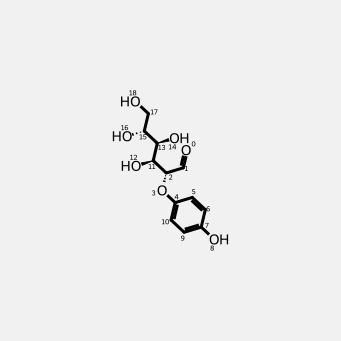 O=C[C@H](Oc1ccc(O)cc1)[C@@H](O)[C@H](O)[C@H](O)CO